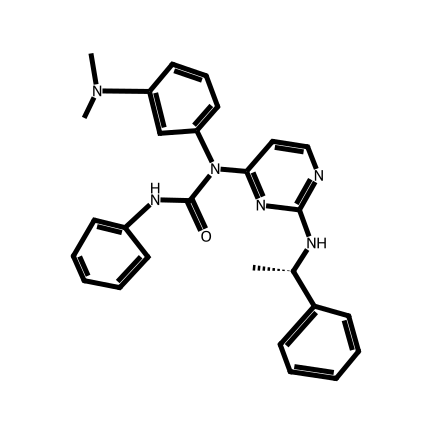 C[C@H](Nc1nccc(N(C(=O)Nc2ccccc2)c2cccc(N(C)C)c2)n1)c1ccccc1